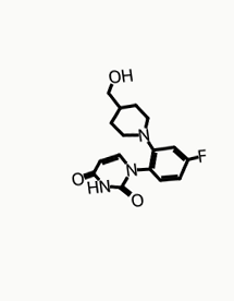 O=c1ccn(-c2ccc(F)cc2N2CCC(CO)CC2)c(=O)[nH]1